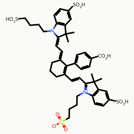 CC1(C)C(/C=C/C2=C(c3ccc(C(=O)O)cc3)C(=C/C=C3/N(CCCCS(=O)(=O)O)c4ccc(S(=O)(=O)O)cc4C3(C)C)/CCC2)=[N+](CCCCS(=O)(=O)[O-])c2ccc(S(=O)(=O)O)cc21